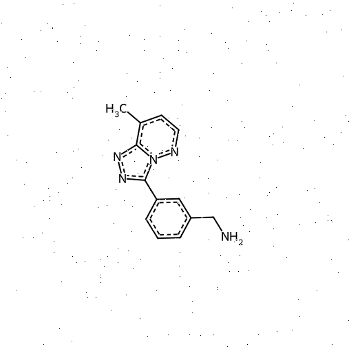 Cc1ccnn2c(-c3cccc(CN)c3)nnc12